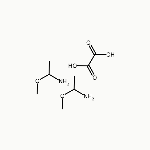 COC(C)N.COC(C)N.O=C(O)C(=O)O